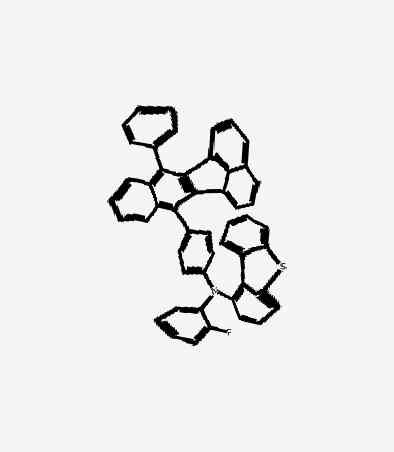 Fc1ccccc1N(c1ccc(-c2c3c(c(-c4ccccc4)c4ccccc24)-c2cccc4cccc-3c24)cc1)c1cccc2sc3ccccc3c12